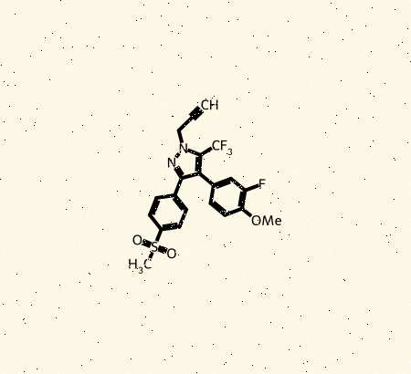 C#CCn1nc(-c2ccc(S(C)(=O)=O)cc2)c(-c2ccc(OC)c(F)c2)c1C(F)(F)F